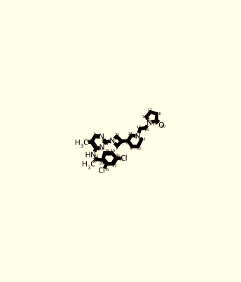 Cc1cnc(N2CC(C3CCCN(CCN4CCCC4=O)C3)C2)nc1N[C@H](C)c1ccc(Cl)cc1Cl